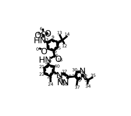 COc1c(NS(C)(=O)=O)cc(C(C)(C)C)cc1C(=O)Nc1ccc(C)c(-n2cc(-c3cnn(C(C)C)c3C)nn2)c1